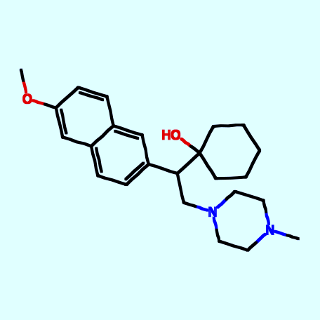 COc1ccc2cc(C(CN3CCN(C)CC3)C3(O)CCCCC3)ccc2c1